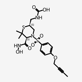 CC#CCOc1ccc(S(=O)(=O)N2C[C@H](CNC(=O)O)SC(C)(C)[C@@H]2C(=O)NO)cc1